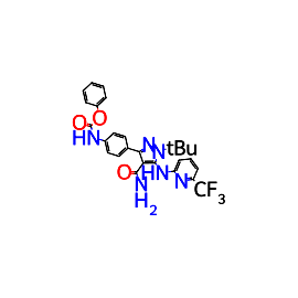 CC(C)(C)n1nc(-c2ccc(NC(=O)Oc3ccccc3)cc2)c(C(N)=O)c1Nc1cccc(C(F)(F)F)n1